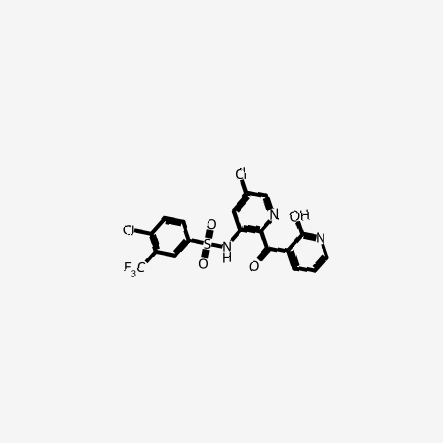 O=C(c1cccnc1O)c1ncc(Cl)cc1NS(=O)(=O)c1ccc(Cl)c(C(F)(F)F)c1